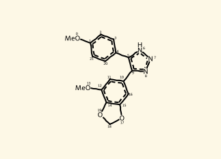 COc1[c]cc(-c2[nH]nnc2-c2cc(OC)c3c(c2)OCO3)cc1